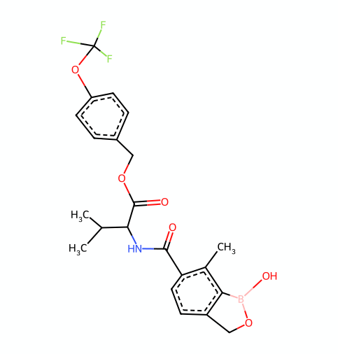 Cc1c(C(=O)NC(C(=O)OCc2ccc(OC(F)(F)F)cc2)C(C)C)ccc2c1B(O)OC2